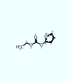 CCOC(=O)Oc1ccco1